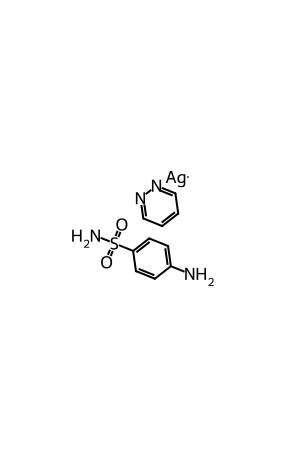 Nc1ccc(S(N)(=O)=O)cc1.[Ag].c1ccnnc1